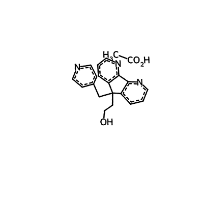 CC(=O)O.OCCC1(Cc2ccncc2)c2cccnc2-c2ncccc21